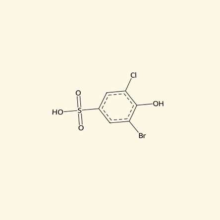 O=S(=O)(O)c1cc(Cl)c(O)c(Br)c1